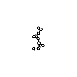 c1ccc(-c2cccc(-n3c4ccccc4c4cc(-c5ccc6c(c5)c5ccccc5n6-c5ccc(-c6cccc7ccccc67)cc5)ccc43)c2)cc1